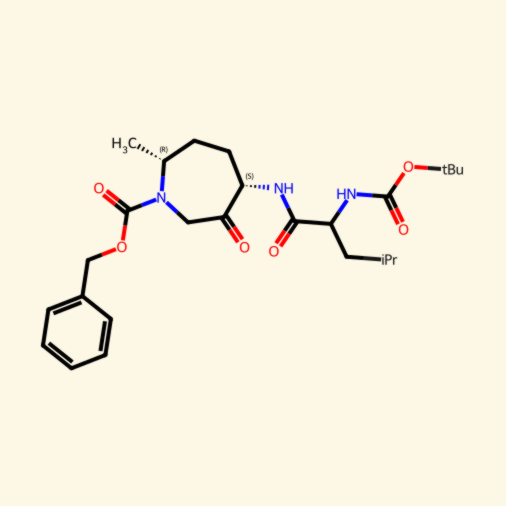 CC(C)CC(NC(=O)OC(C)(C)C)C(=O)N[C@H]1CC[C@@H](C)N(C(=O)OCc2ccccc2)CC1=O